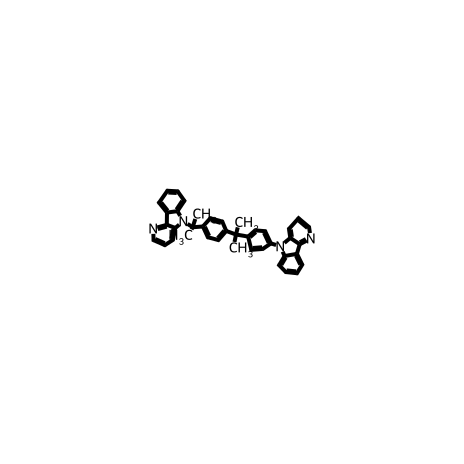 CC(C)(c1ccc(-n2c3ccccc3c3ncccc32)cc1)c1ccc(C(C)(C)n2c3ccccc3c3ncccc32)cc1